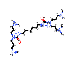 CN(C)CCCN(CCCN(C)C)C(=O)NCCCCCCNC(=O)N(CCCN(C)C)CCCN(C)C